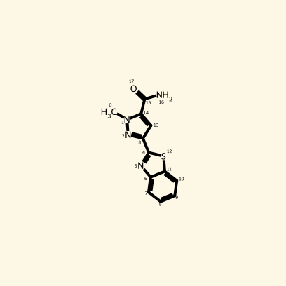 Cn1nc(-c2nc3ccccc3s2)cc1C(N)=O